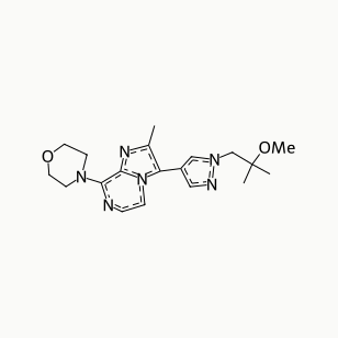 COC(C)(C)Cn1cc(-c2c(C)nc3c(N4CCOCC4)nccn23)cn1